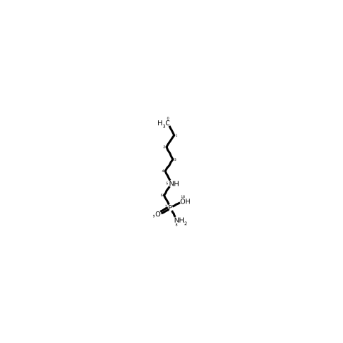 CCCCCNCP(N)(=O)O